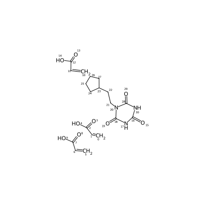 C=CC(=O)O.C=CC(=O)O.C=CC(=O)O.O=c1[nH]c(=O)n(CCC2CCCC2)c(=O)[nH]1